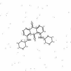 O=C1c2cccc(NC3CCCCC3)c2C(=O)c2c(NC3CCCCC3)cccc21